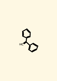 [CH]=C(c1ccccc1)c1ccccc1